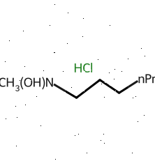 CCCCCCN(C)O.Cl